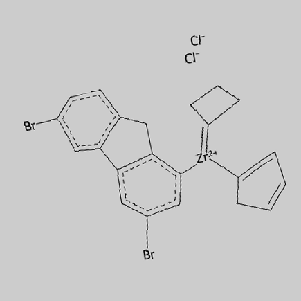 Brc1ccc2c(c1)-c1cc(Br)c[c]([Zr+2]([C]3=CC=CC3)=[C]3CCC3)c1C2.[Cl-].[Cl-]